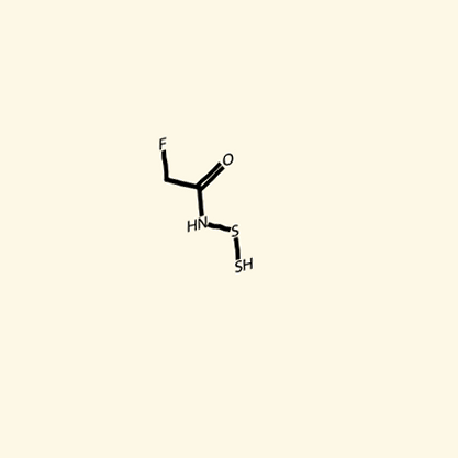 O=C(CF)NSS